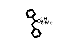 COC.O=C(Cc1ccccc1)c1ccccc1